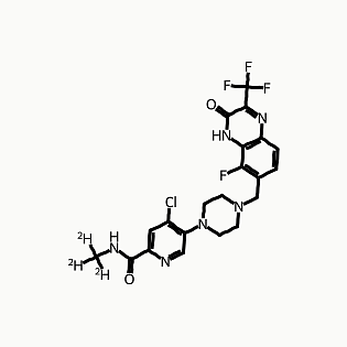 [2H]C([2H])([2H])NC(=O)c1cc(Cl)c(N2CCN(Cc3ccc4nc(C(F)(F)F)c(=O)[nH]c4c3F)CC2)cn1